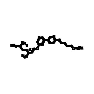 CCCCOCCCCOc1ccc(-c2cncc(O[SiH2]CC(C)CCC(C)CCCC)n2)cn1